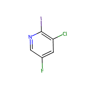 Fc1cnc(I)c(Cl)c1